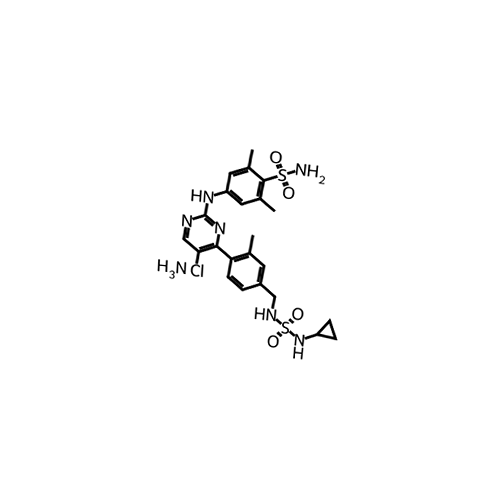 Cc1cc(CNS(=O)(=O)NC2CC2)ccc1-c1nc(Nc2cc(C)c(S(N)(=O)=O)c(C)c2)ncc1Cl.N